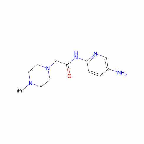 CC(C)N1CCN(CC(=O)Nc2ccc(N)cn2)CC1